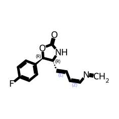 C=N/C=C\C=C\[C@H]1NC(=O)O[C@@H]1c1ccc(F)cc1